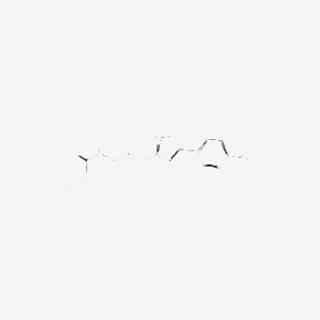 CC(C)(C)OC(=O)NCCOc1cc(-c2ccc(N)cc2)on1